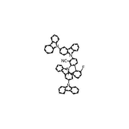 N#Cc1c(-n2c3ccccc3c3cc(-n4c5ccccc5c5ccccc54)ccc32)ccc(-c2c(F)cccc2F)c1-n1c2ccccc2c2cc(-n3c4ccccc4c4ccccc43)ccc21